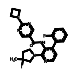 CC1(I)CCN(c2nccc(-c3ccccc3F)c2NC(=O)c2cnc(N3CCC3)nc2)C1